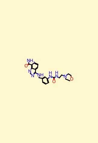 NC(=O)c1cccc2c(NCc3cccc(NC(=O)NCCN4CCOCC4)c3)ncnc12